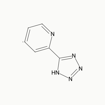 [c]1ccnc(-c2nnn[nH]2)c1